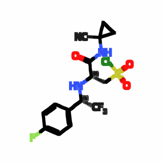 N#CC1(NC(=O)[C@H](CS(=O)(=O)Cl)N[C@@H](c2ccc(F)cc2)C(F)(F)F)CC1